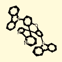 c1cnc2c(c1)C1(c3cc(-n4c5ccccc5c5ccccc54)ccc3Oc3ccc(-n4c5ccccc5c5ccccc54)cc31)c1cccnc1-2